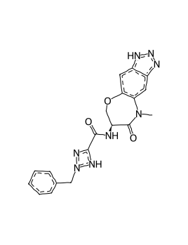 CN1C(=O)[C@@H](NC(=O)c2nn(Cc3ccccc3)[nH]2)COc2cc3[nH]nnc3cc21